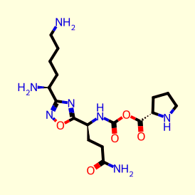 NCCCC[C@H](N)c1noc([C@H](CCC(N)=O)NC(=O)OC(=O)[C@@H]2CCCN2)n1